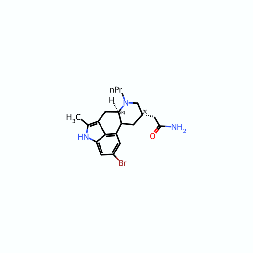 CCCN1C[C@H](CC(N)=O)CC2c3cc(Br)cc4[nH]c(C)c(c34)C[C@H]21